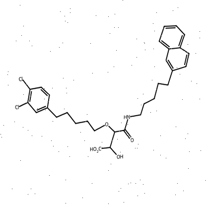 O=C(O)C(O)C(OCCCCCc1ccc(Cl)c(Cl)c1)C(=O)NCCCCCc1ccc2ccccc2c1